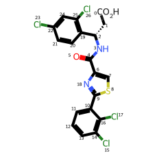 O=C(O)C[C@H](NC(=O)c1csc(-c2cccc(Cl)c2Cl)n1)c1ccc(Cl)cc1Cl